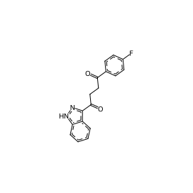 O=C(CCC(=O)c1n[nH]c2ccccc12)c1ccc(F)cc1